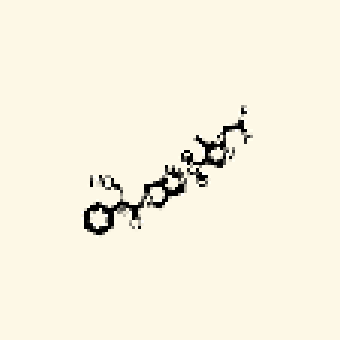 Cc1c(S(=O)(=O)n2cc3c(n2)CN(C(=O)[C@@H](CO)c2ccccc2)C3)cnn1CC(F)F